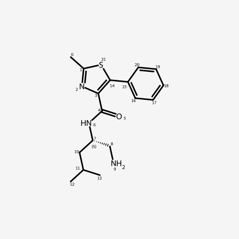 Cc1nc(C(=O)N[C@H](CN)CC(C)C)c(-c2ccccc2)s1